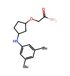 BC(=O)COC1CCC(Nc2cc(C(C)(C)C)cc(C(C)(C)C)c2)C1